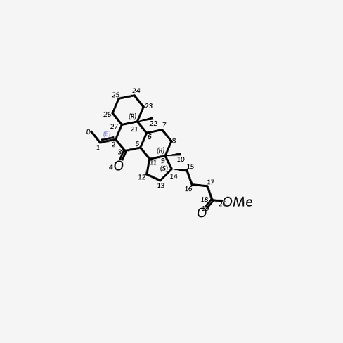 C/C=C1/C(=O)C2C(CC[C@@]3(C)C2CC[C@@H]3CCCC(=O)OC)[C@@]2(C)CCCCC12